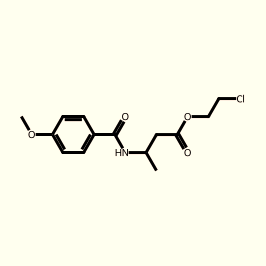 COc1ccc(C(=O)NC(C)CC(=O)OCCCl)cc1